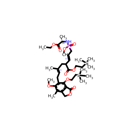 CCOC(=O)[C@H](C)NP(=O)(C/C=C/C(C/C(C)=C/Cc1c(OC)c(C)c2c(c1OCC[Si](C)(C)C)C(=O)OC2)C(=O)OCC[Si](C)(C)C)OC